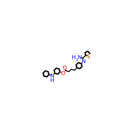 N/C(=N\c1ccc(CCCC(=O)Oc2cccc(Nc3ccccc3)c2)cc1)c1cccs1